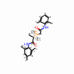 CC[PH](CC)(CC(=O)Nc1c(C)cccc1C)C(C)C(=O)Nc1c(C)cc(C)cc1C